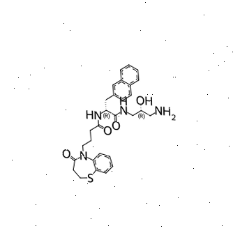 NC[C@@H](O)CNC(=O)[C@@H](Cc1ccc2ccccc2c1)NC(=O)CCCN1C(=O)CCSc2ccccc21